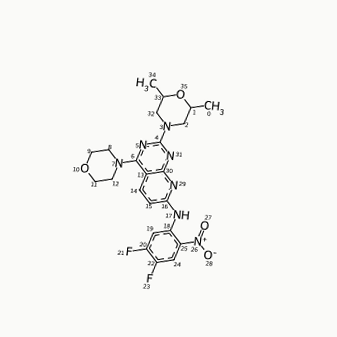 CC1CN(c2nc(N3CCOCC3)c3ccc(Nc4cc(F)c(F)cc4[N+](=O)[O-])nc3n2)CC(C)O1